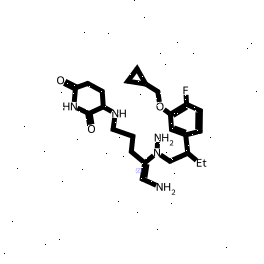 CCC(CN(N)/C(=C\N)CCCNC1CCC(=O)NC1=O)c1ccc(F)c(OCC2CC2)c1